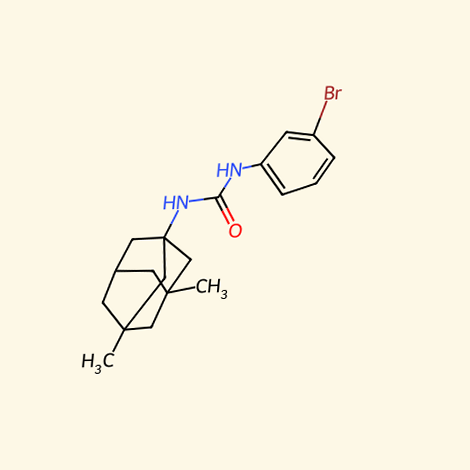 CC12CC3CC(C)(C1)CC(NC(=O)Nc1cccc(Br)c1)(C3)C2